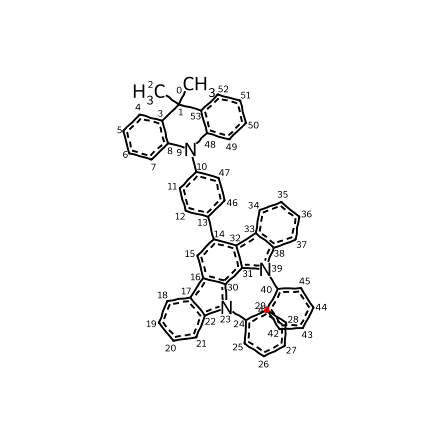 CC1(C)c2ccccc2N(c2ccc(-c3cc4c5ccccc5n(-c5ccccc5)c4c4c3c3ccccc3n4-c3ccccc3)cc2)c2ccccc21